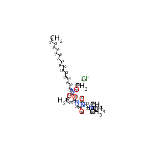 CCCCCCCCCCCCCCCCCCN(OC)C(=O)OC(CC)N1CC(=O)N(CC[N+](C)(C)C)C1=O.[Cl-]